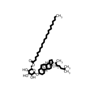 CCCCCCCCCCCCCCCCCCCCCC(=O)OC[C@H]1O[C@@H](O[C@H]2CC[C@@]3(C)C(=CC[C@H]4[C@@H]5CC[C@H](C(C)CCCC(C)C)[C@@]5(C)CC[C@@H]43)C2)[C@H](O)[C@@H](O)[C@@H]1O